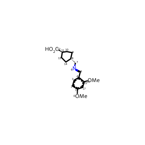 COc1ccc(C=NC[C@H]2CC[C@H](C(=O)O)CC2)c(OC)c1